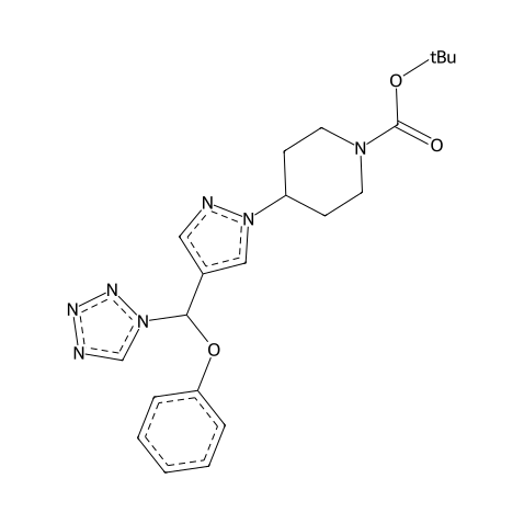 CC(C)(C)OC(=O)N1CCC(n2cc(C(Oc3ccccc3)n3cnnn3)cn2)CC1